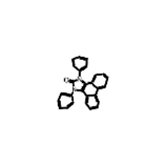 O=c1n(-c2ccccc2)c2c3ccccc3c3ccccc3c2n1-c1ccccc1